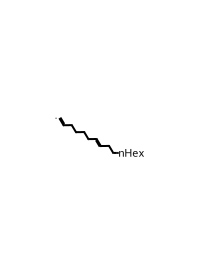 [CH]=CCCCCC=CCCCCCCCC